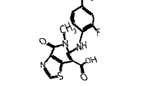 Cc1ccc(Nc2c(C(=O)O)c3scnc3c(=O)n2C)c(F)c1